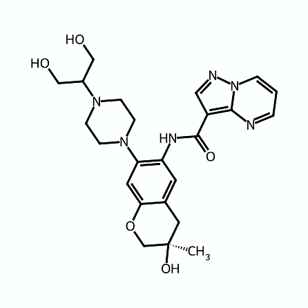 C[C@]1(O)COc2cc(N3CCN(C(CO)CO)CC3)c(NC(=O)c3cnn4cccnc34)cc2C1